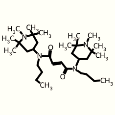 CCCCN(C(=O)C=CC(=O)N(CCCC)C1CC(C)(C)N(C)C(C)(C)C1)C1CC(C)(C)N(C)C(C)(C)C1